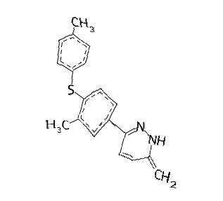 C=C1C=CC(c2ccc(Sc3ccc(C)cc3)c(C)c2)=NN1